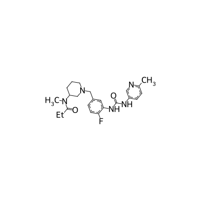 CCC(=O)N(C)C1CCCN(Cc2ccc(F)c(NC(=O)Nc3ccc(C)nc3)c2)C1